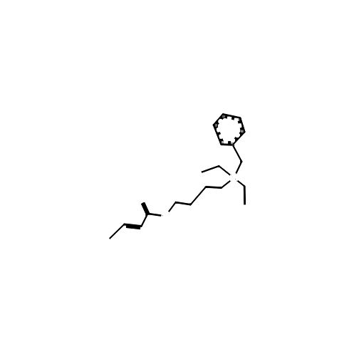 CC=CC(=O)OCCCC[N+](CC)(CC)Cc1ccccc1.[I-]